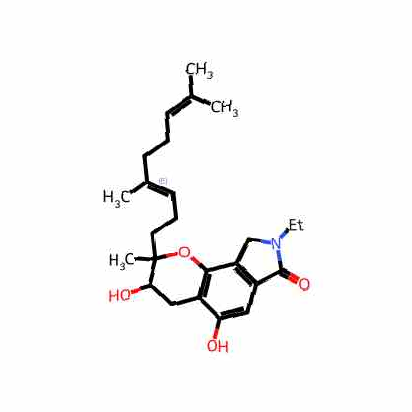 CCN1Cc2c(cc(O)c3c2OC(C)(CC/C=C(\C)CCC=C(C)C)C(O)C3)C1=O